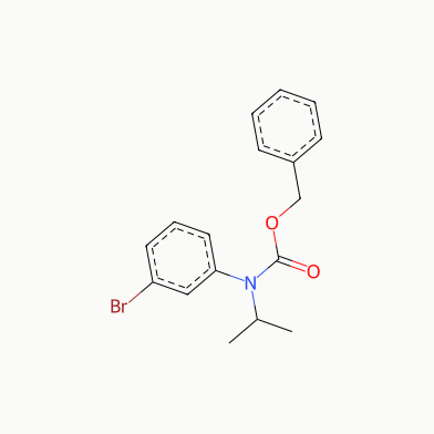 CC(C)N(C(=O)OCc1ccccc1)c1cccc(Br)c1